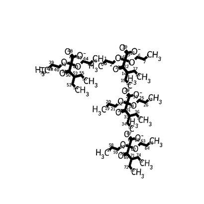 CCCOC(OCCC)(C(=O)[O-])C(=O)C(CC)CC.CCCOC(OCCC)(C(=O)[O-])C(=O)C(CC)CC.CCCOC(OCCC)(C(=O)[O-])C(=O)C(CC)CC.CCCOC(OCCC)(C(=O)[O-])C(=O)C(CC)CC.[Ti+4]